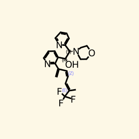 C=C(/C=C\C=C(/C)C(F)(F)F)c1ncccc1[C@@H](O)[C@H](c1ccccn1)N1CCOCC1